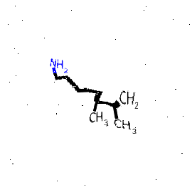 C=C(C)/C(C)=C/CCCN